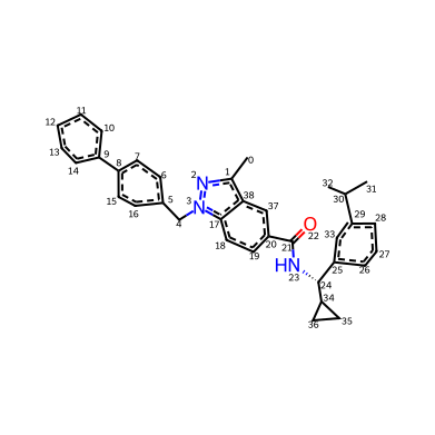 Cc1nn(Cc2ccc(-c3ccccc3)cc2)c2ccc(C(=O)N[C@H](c3cccc(C(C)C)c3)C3CC3)cc12